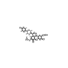 COc1cc(Nc2c(C(=O)N3CCC(c4ccc(F)cc4)CC3)cn(CC3CC3)c(=O)c2Cl)ccc1Cl